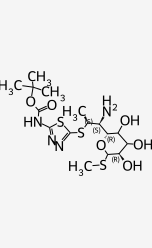 CSC1O[C@H]([C@H](N)[C@H](C)Sc2nnc(NC(=O)OC(C)(C)C)s2)C(O)C(O)[C@H]1O